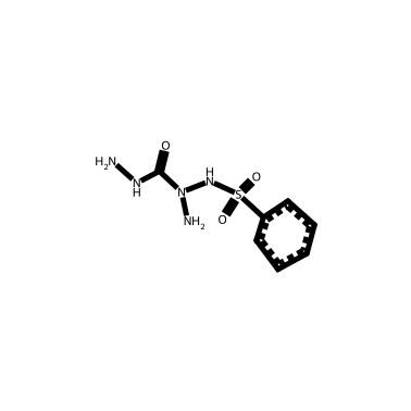 NNC(=O)N(N)NS(=O)(=O)c1ccccc1